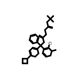 C=C(CCC(=C)CC(C1=CC=C(C2CCC2)CC1)(C1=C(Cl)C(C)CC=C1)c1ccccc1)CC(C)(C)C